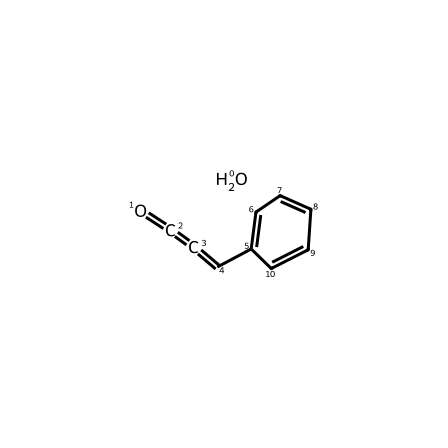 O.O=C=C=Cc1ccccc1